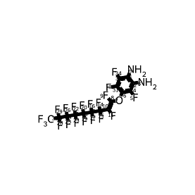 Nc1c(N)c(F)c(OC(F)=C(F)C(F)(F)C(F)(F)C(F)(F)C(F)(F)C(F)(F)C(F)(F)C(F)(F)F)c(F)c1F